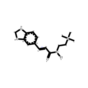 CCN(CCS(C)(C)C)C(=O)/C=C/c1ccc2c(c1)OCO2